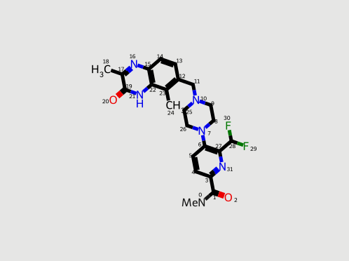 CNC(=O)c1ccc(N2CCN(Cc3ccc4nc(C)c(=O)[nH]c4c3C)CC2)c(C(F)F)n1